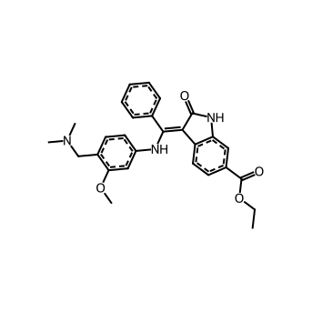 CCOC(=O)c1ccc2c(c1)NC(=O)C2=C(Nc1ccc(CN(C)C)c(OC)c1)c1ccccc1